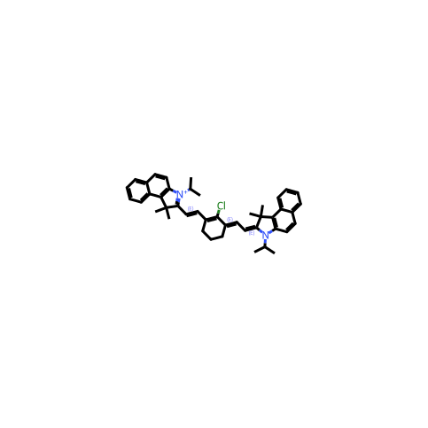 CC(C)N1/C(=C/C=C2\CCCC(/C=C/C3=[N+](C(C)C)c4ccc5ccccc5c4C3(C)C)=C2Cl)C(C)(C)c2c1ccc1ccccc21